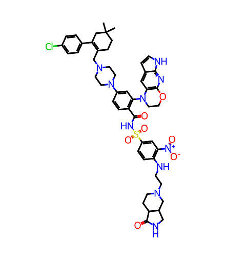 CC1(C)CCC(CN2CCN(c3ccc(C(=O)NS(=O)(=O)c4ccc(NCCN5CCC6C(=O)NCC6C5)c([N+](=O)[O-])c4)c(N4CCOc5nc6[nH]ccc6cc54)c3)CC2)=C(c2ccc(Cl)cc2)C1